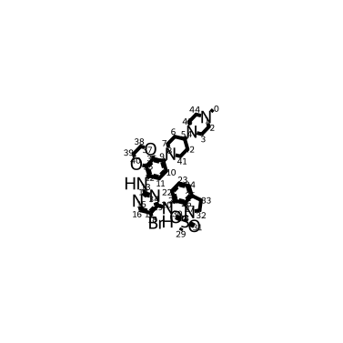 CN1CCN(C2CCN(c3ccc(Nc4ncc(Br)c(Nc5cccc6c5N(S(C)(=O)=O)CC6)n4)c4c3OCCO4)CC2)CC1